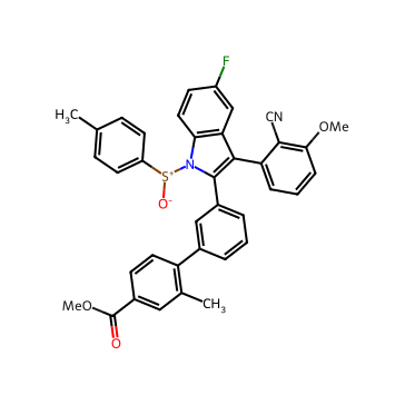 COC(=O)c1ccc(-c2cccc(-c3c(-c4cccc(OC)c4C#N)c4cc(F)ccc4n3[S+]([O-])c3ccc(C)cc3)c2)c(C)c1